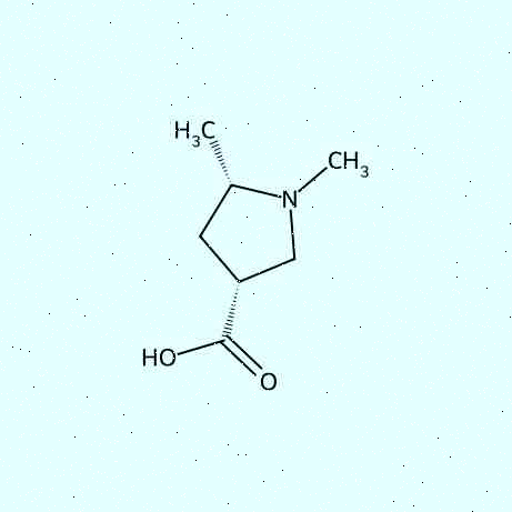 C[C@H]1C[C@@H](C(=O)O)CN1C